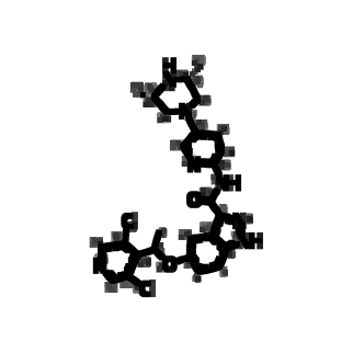 CC(Oc1ccc2[nH]nc(C(=O)Nc3ccc(N4C[C@@H](C)N[C@@H](C)C4)cn3)c2c1)c1c(Cl)cncc1Cl